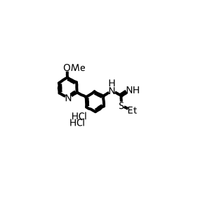 CCSC(=N)Nc1cccc(-c2cc(OC)ccn2)c1.Cl.Cl